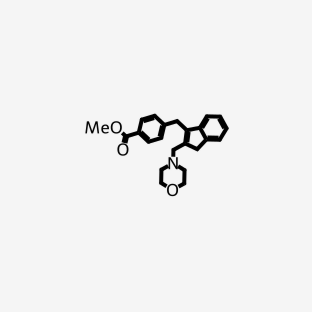 COC(=O)c1ccc(CC2=C(CN3CCOCC3)Cc3ccccc32)cc1